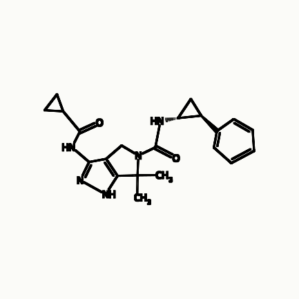 CC1(C)c2[nH]nc(NC(=O)C3CC3)c2CN1C(=O)N[C@@H]1C[C@H]1c1ccccc1